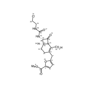 COC(=O)c1ccc(CC2=C(C(=O)O)N3C(=O)[C@@H](NC(=O)NCCCl)[C@@H]3SC2)o1